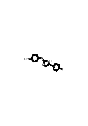 Oc1ccc(N=c2[nH]c(-c3ccc(F)cc3)cs2)cc1